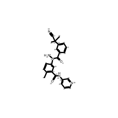 Cc1ccc(N(N)C(=O)c2cccc(C(C)(C)C#N)c2)cc1C(=O)Nc1cccnc1